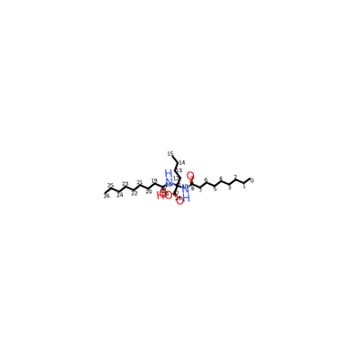 CCCCCCCCC(=O)NC(CCCC)(NC(=O)CCCCCCCC)C(=O)O